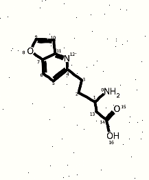 NC(CCc1ccc2occc2n1)CC(=O)O